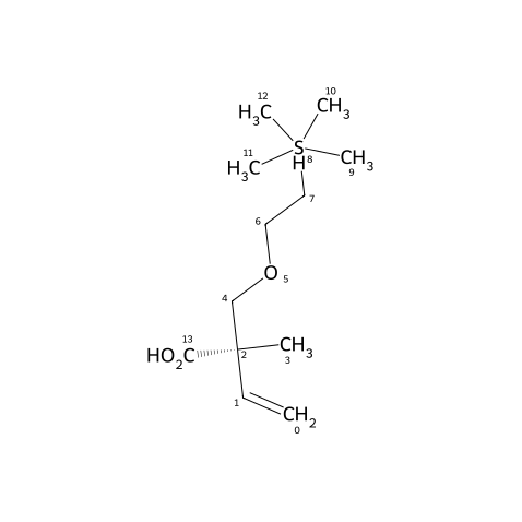 C=C[C@](C)(COCC[SH](C)(C)(C)C)C(=O)O